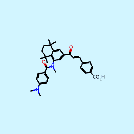 CN(C)c1ccc(C(=O)N(C)c2cc(C(=O)C=Cc3ccc(C(=O)O)cc3)cc3c2C(C)(C)CCC3(C)C)cc1